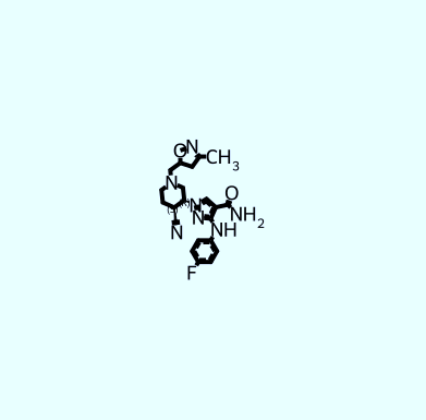 CC1=NOC(CN2CC[C@H](C#N)[C@@H](n3cc(C(N)=O)c(Nc4ccc(F)cc4)n3)C2)C1